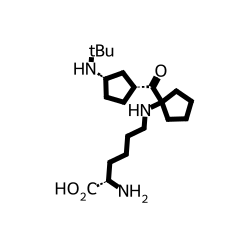 CC(C)(C)N[C@H]1CC[C@@H](C(=O)C2(NCCCC[C@H](N)C(=O)O)CCCC2)C1